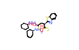 NC1CCCCC1.NC1CCCCC1.OC(=S)CC(C(O)=S)c1nc2ccccc2s1